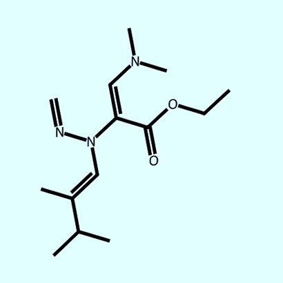 C=NN(/C=C(\C)C(C)C)/C(=C/N(C)C)C(=O)OCC